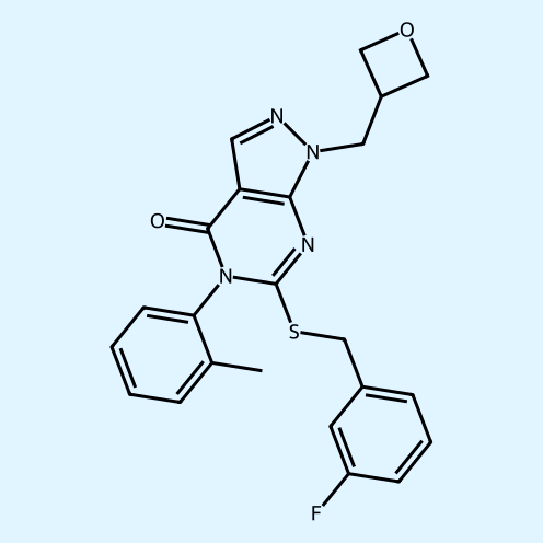 Cc1ccccc1-n1c(SCc2cccc(F)c2)nc2c(cnn2CC2COC2)c1=O